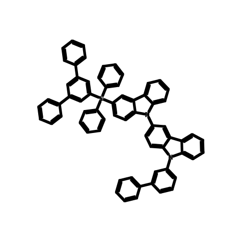 c1ccc(-c2cccc(-n3c4ccccc4c4cc(-n5c6ccccc6c6cc([Si](c7ccccc7)(c7ccccc7)c7cc(-c8ccccc8)cc(-c8ccccc8)c7)ccc65)ccc43)c2)cc1